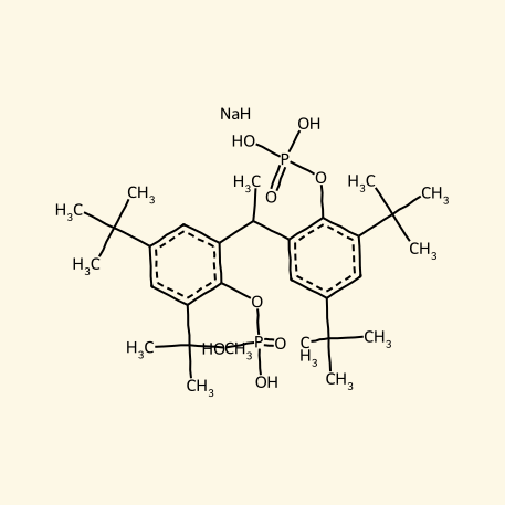 CC(c1cc(C(C)(C)C)cc(C(C)(C)C)c1OP(=O)(O)O)c1cc(C(C)(C)C)cc(C(C)(C)C)c1OP(=O)(O)O.[NaH]